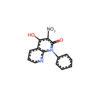 O=c1c([N+](=O)[O-])c(O)c2cccnc2n1-c1ccccc1